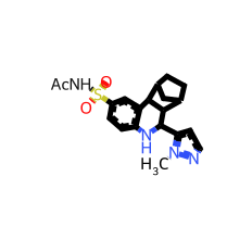 CC(=O)NS(=O)(=O)c1ccc2c(c1)C1C3CCC(C3)C1C(c1ccnn1C)N2